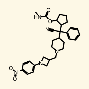 CNC(=O)OC1CCCC1C(C#N)(c1ccccc1)C1CCN(CC2CN(c3ccc([N+](=O)[O-])cc3)C2)CC1